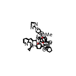 COc1cc(C(=O)N2CC3CCC2C3(N)S(=O)(=O)c2ccc(Br)cc2)cc2nc(-c3cc4cccnc4n3CC3CC3)n(C[C@@]3(S(=O)(=O)c4ccc(Br)cc4)CCN(c4ncccn4)C3)c12